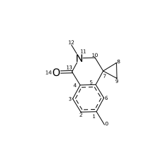 Cc1ccc2c(c1)C1(CC1)CN(C)C2=O